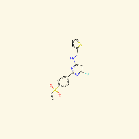 C=CS(=O)(=O)c1ccc(-c2nc(F)cc(NCc3cccs3)n2)cc1